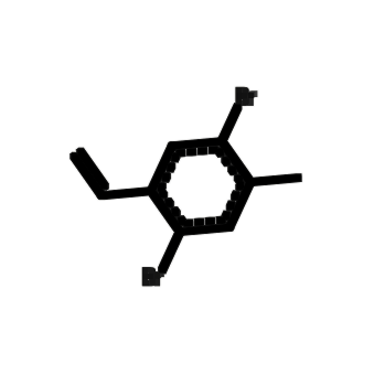 C=Cc1cc(Br)c(C)cc1Br